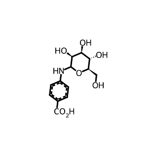 O=C(O)c1ccc(NC2O[C@H](CO)[C@@H](O)[C@H](O)[C@@H]2O)cc1